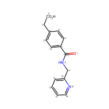 O=C(O)Cc1ccc(C(=O)NCc2ccccn2)cc1